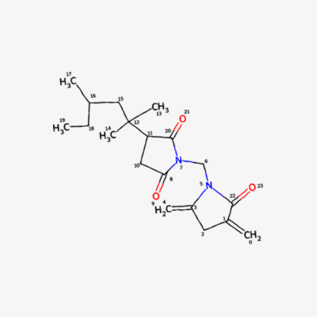 C=C1CC(=C)N(CN2C(=O)CC(C(C)(C)CC(C)CC)C2=O)C1=O